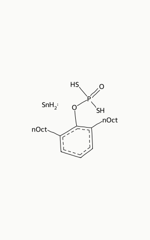 CCCCCCCCc1cccc(CCCCCCCC)c1OP(=O)(S)S.[SnH2]